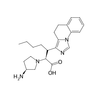 CCCCC(c1ncn2c1CCc1ccccc1-2)[C@@H](C(=O)O)N1CC[C@H](N)C1